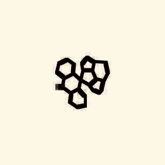 c1ccc2c(c1)Nc1ccccc1C21c2cccc3ccc4cccc1c4c23